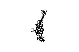 O=C(OCCOCCO[N+](=O)[O-])N1CCC(c2ccc(CCCOc3c(F)ccc(F)c3F)cc2)=C(C(=O)N(Cc2cc3c(cc2Cl)OCO3)C2CC2)C1